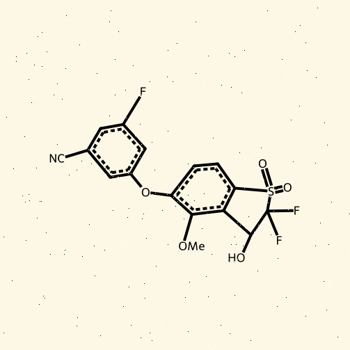 COc1c(Oc2cc(F)cc(C#N)c2)ccc2c1C(O)C(F)(F)S2(=O)=O